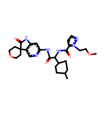 COCCn1nccc1C(=O)NC(C(=O)Nc1cc2c(cn1)C1(CCOCC1)C(=O)N2)C1CCC(C)CC1